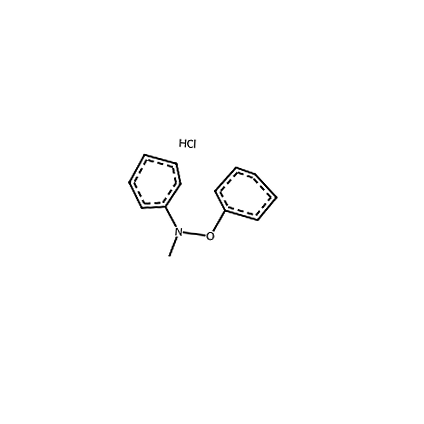 CN(Oc1ccccc1)c1ccccc1.Cl